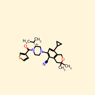 CC(C)[C@@H]1CN(c2cc(C3CC3)c3c(c2C#N)CC(C)(C)OC3)CCN1C(=O)c1ccsc1